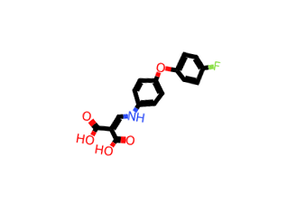 O=C(O)C(=CNc1ccc(Oc2ccc(F)cc2)cc1)C(=O)O